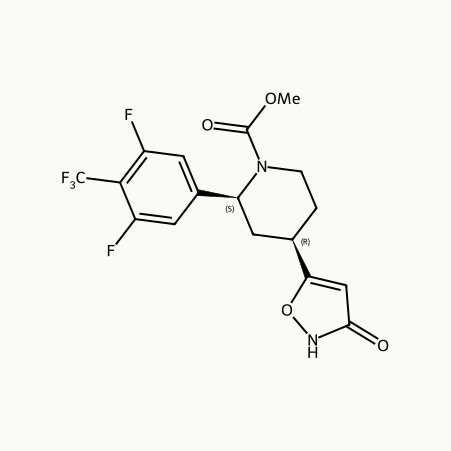 COC(=O)N1CC[C@@H](c2cc(=O)[nH]o2)C[C@H]1c1cc(F)c(C(F)(F)F)c(F)c1